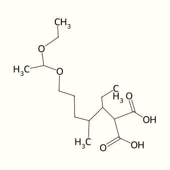 CCOC(C)OCCCC(C)C(CC)C(C(=O)O)C(=O)O